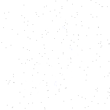 CC1CCCN(CCCNC(=O)c2ccc(OC3CCN(CC(c4ccccc4)c4ccccc4)CC3)cc2)C1